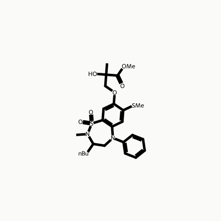 CCCCC1CN(c2ccccc2)c2cc(SC)c(OCC(C)(O)C(=O)OC)cc2S(=O)(=O)N1C